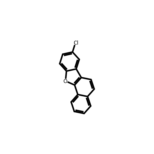 Clc1ccc2oc3c4ccccc4ccc3c2c1